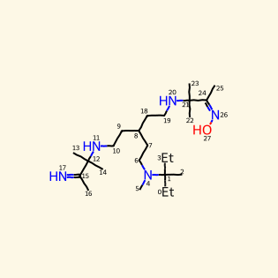 CCC(C)(CC)N(C)CCC(CCNC(C)(C)C(C)=N)CCNC(C)(C)/C(C)=N\O